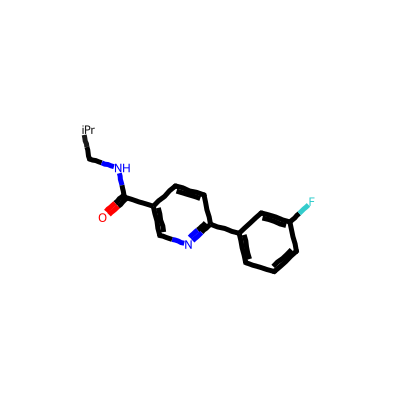 CC(C)CNC(=O)c1ccc(-c2cccc(F)c2)nc1